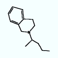 CCCC(C)N1CCc2ccccc2C1